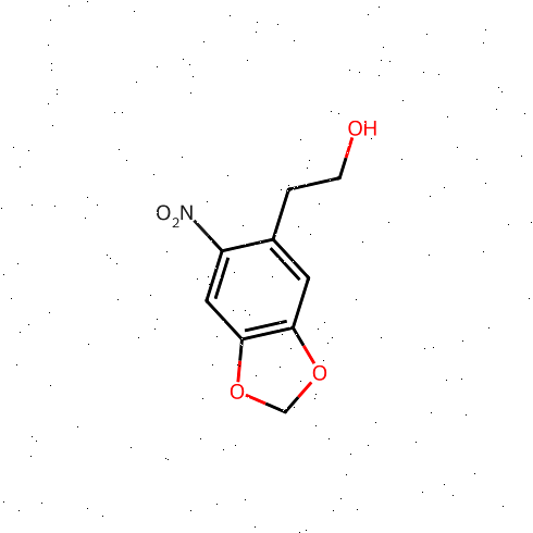 O=[N+]([O-])c1cc2c(cc1CCO)OCO2